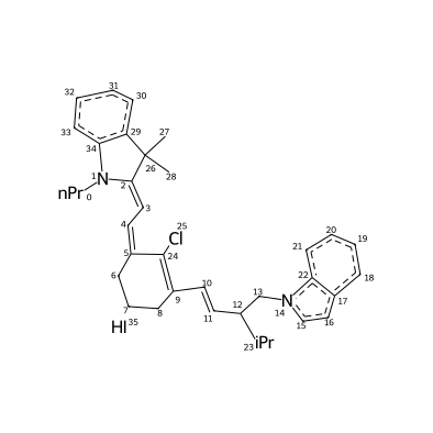 CCCN1C(=CC=C2CCCC(C=CC(Cn3ccc4ccccc43)C(C)C)=C2Cl)C(C)(C)c2ccccc21.I